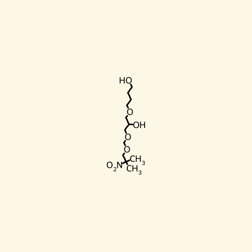 CC(C)(COCOCC(O)COCCCCO)[N+](=O)[O-]